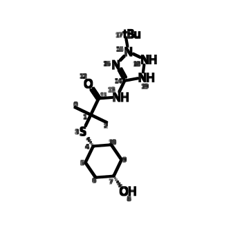 CC(C)(S[C@H]1CC[C@@H](O)CC1)C(=O)NC1=NN(C(C)(C)C)NN1